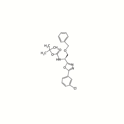 CC(C)(C)OC(=O)N[C@@H](COCc1ccccc1)c1nnc(-c2cccc(Cl)c2)o1